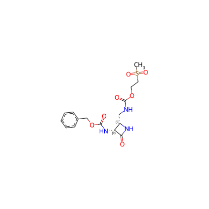 CS(=O)(=O)CCOC(=O)NC[C@@H]1NC(=O)[C@@H]1NC(=O)OCc1ccccc1